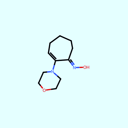 ON=C1CCCCC=C1N1CCOCC1